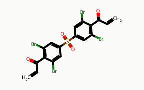 C=CC(=O)c1c(Br)cc(S(=O)(=O)c2cc(Br)c(C(=O)C=C)c(Br)c2)cc1Br